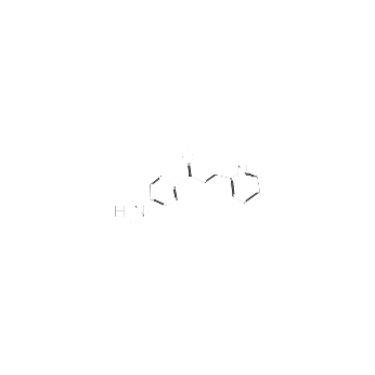 Nc1ccc(C(=O)C=Cc2ccccn2)cc1